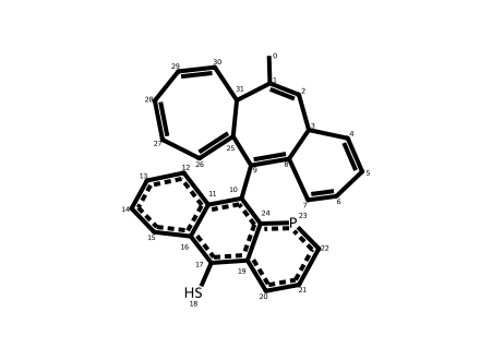 CC1=CC2C=CC=CC2=C(c2c3ccccc3c(S)c3cccpc23)C2=CC=CC=CC12